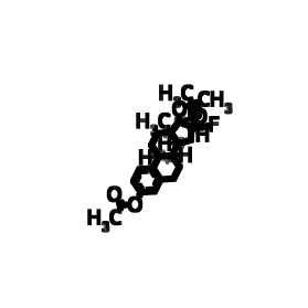 CC(=O)Oc1ccc2c(c1)CC[C@@H]1[C@@H]2CC[C@@]2(C)[C@H]1C[C@H]1OC(C)(C)O[C@]12C(=O)CF